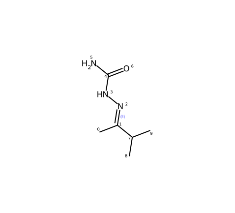 C/C(=N\NC(N)=O)C(C)C